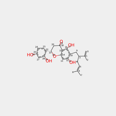 C=C(C)C(CC=C(C)C)Cc1c(O)cc2c(c1O)C(=O)C[C@@H](c1ccc(O)cc1O)O2